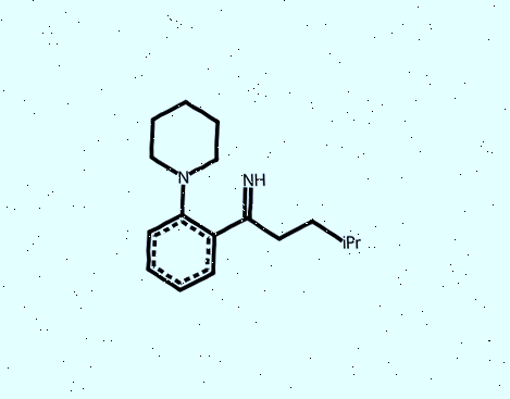 CC(C)CCC(=N)c1ccccc1N1CCCCC1